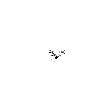 O=[Si].[Ga].[In].[Zn]